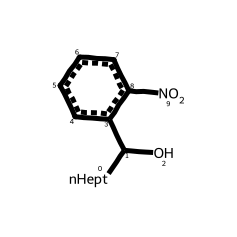 CCCCCCCC(O)c1ccccc1[N+](=O)[O-]